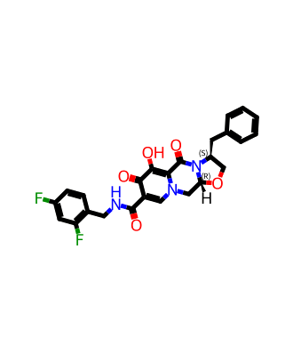 O=C(NCc1ccc(F)cc1F)c1cn2c(c(O)c1=O)C(=O)N1[C@@H](Cc3ccccc3)CO[C@@H]1C2